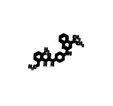 CCc1cccc(C)c1NC(=O)NC1CCC(Nc2cc(N(C)C)c3ccccc3n2)CC1